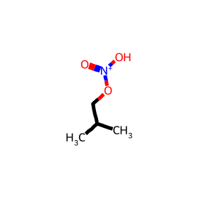 CC(C)CO[N+](=O)O